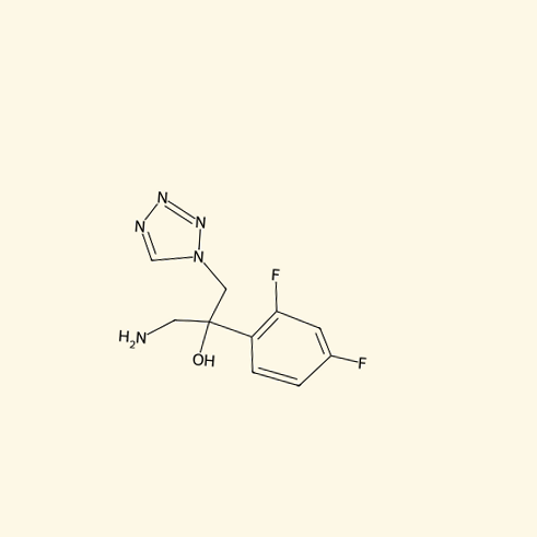 NCC(O)(Cn1cnnn1)c1ccc(F)cc1F